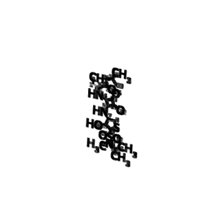 CC[C@@H](Nc1c(Nc2csc(S(=O)(=O)N(C)C(C)C)c2O)c(=O)c1=O)c1cc(C)co1